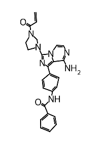 C=CC(=O)N1CCN(c2nc(-c3ccc(NC(=O)c4ccccc4)cc3)c3c(N)nccn23)C1